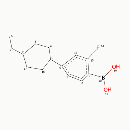 CCC1CCC(c2ccc(B(O)O)c(F)c2)CC1